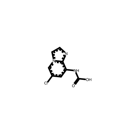 O=C(O)Nc1cc(Cl)cn2ccnc12